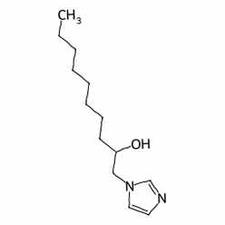 CCCCCCCCC(O)Cn1ccnc1